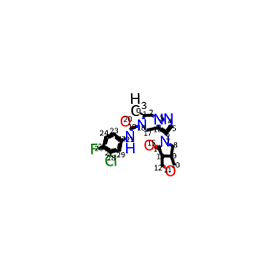 C[C@H]1Cn2ncc(N3CC4COCC4C3=O)c2CN1C(=O)Nc1ccc(F)c(Cl)c1